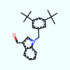 CC(C)(C)c1cc(Cn2cc(C=O)c3ccccc32)cc(C(C)(C)C)c1